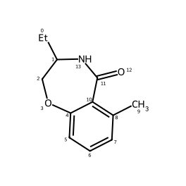 CCC1COc2cccc(C)c2C(=O)N1